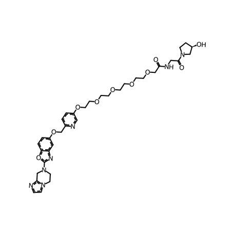 O=C(COCCOCCOCCOCCOc1ccc(COc2ccc3oc(N4CCn5ccnc5C4)nc3c2)nc1)NCC(=O)N1CC[C@@H](O)C1